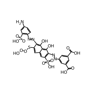 Nc1ccc(/N=N/c2c(SOOO)cc3cc(S(=O)(=O)O)c(/N=N/c4cc(C(=O)O)cc(C(=O)O)c4)c(O)c3c2O)c(S(=O)(=O)O)c1